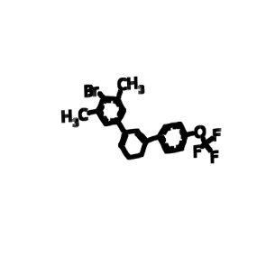 Cc1cc(C2=CCCC(c3ccc(OC(F)(F)F)cc3)=C2)cc(C)c1Br